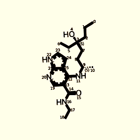 CCC[C@@](O)(CC)CC[C@H](C)Nc1c(C(=O)NCC)cnc2[nH]ccc12